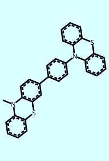 CN1c2ccccc2Sc2cc(-c3ccc(N4c5ccccc5Sc5ccccc54)cc3)ccc21